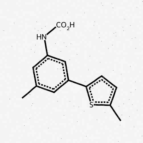 Cc1cc(NC(=O)O)cc(-c2ccc(C)s2)c1